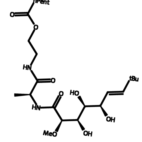 CCCCCC(=O)OCCNC(=O)[C@H](C)NC(=O)[C@H](OC)[C@H](O)[C@@H](O)[C@H](O)/C=C/C(C)(C)C